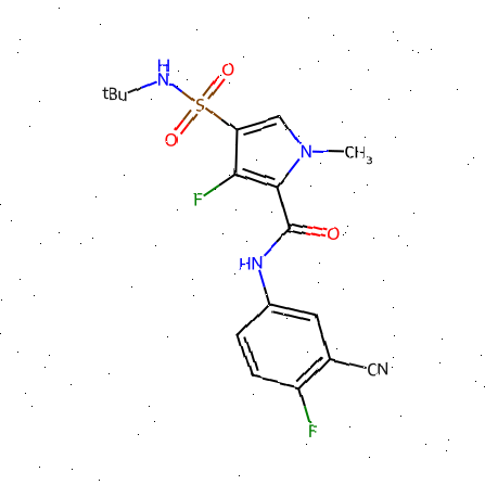 Cn1cc(S(=O)(=O)NC(C)(C)C)c(F)c1C(=O)Nc1ccc(F)c(C#N)c1